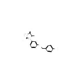 CC1C(=O)NC(=O)N1c1cccc(OCc2ccc(Cl)cc2)c1